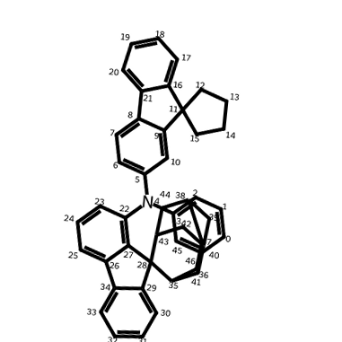 c1ccc(N(c2ccc3c(c2)C2(CCCC2)c2ccccc2-3)c2cccc3c2C2(c4ccccc4-3)C3CCC4CC(C3)CC2C4)cc1